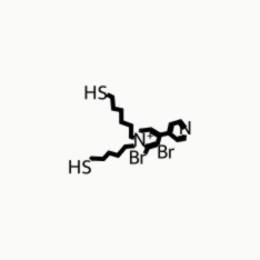 SCCCCCC[N+]1(CCCCCCS)CC=C(c2ccncc2)C(Br)=C1Br